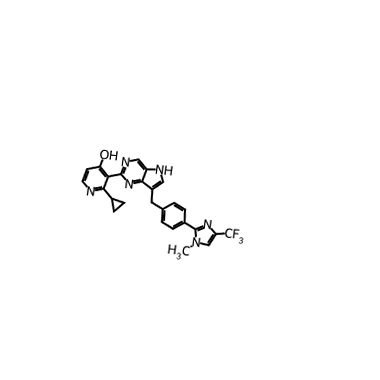 Cn1cc(C(F)(F)F)nc1-c1ccc(Cc2c[nH]c3cnc(-c4c(O)ccnc4C4CC4)nc23)cc1